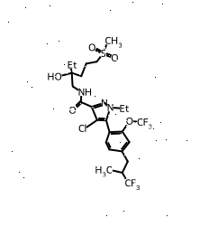 CCn1nc(C(=O)NCC(O)(CC)CCCS(C)(=O)=O)c(Cl)c1-c1ccc(CC(C)C(F)(F)F)cc1OC(F)(F)F